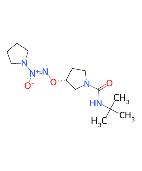 CC(C)(C)NC(=O)N1CC[C@@H](O/N=[N+](\[O-])N2CCCC2)C1